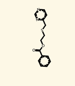 O=C(OCCSCc1ccncn1)c1ccccc1